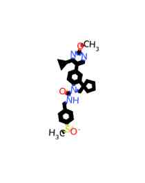 COc1ncc(-c2ccc3c(c2)C2(CCCC2)CN3C(=O)NCc2ccc([S+](C)[O-])cc2)c(C2CC2)n1